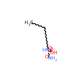 CCCCCCCC/C=C\CCCCCCCCCCCC(=O)N[C@@H](CCC(N)=O)C(=O)O